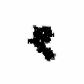 CCNc1nc(Cl)nc(NC(C)C)n1.CCOC(=O)/C(Cl)=C/c1cc(N2C(=O)C3=C(CCCC3)C2=O)ccc1Cl.COc1cc(OC)nc(NC(=O)NS(=O)(=O)c2ncccc2C(=O)N(C)C)n1.CP(=O)(O)CCC(N)C(=O)O